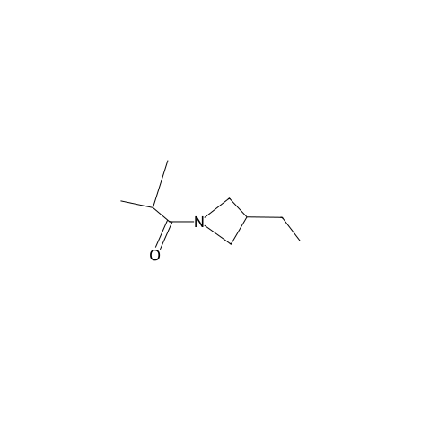 CCC1CN(C(=O)C(C)C)C1